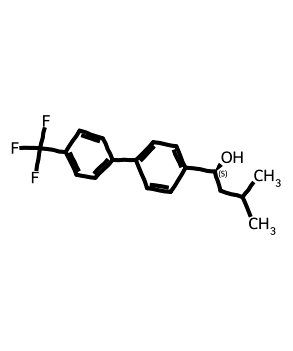 CC(C)C[C@H](O)c1ccc(-c2ccc(C(F)(F)F)cc2)cc1